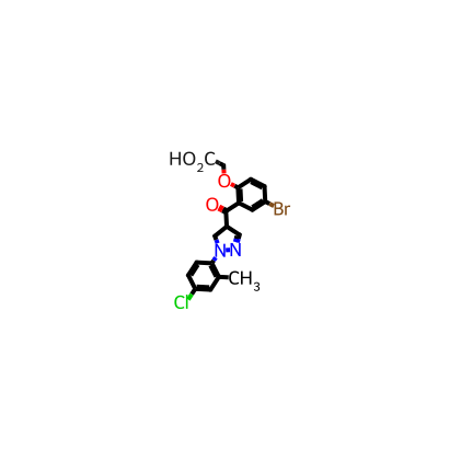 Cc1cc(Cl)ccc1N1CC(C(=O)c2cc(Br)ccc2OCC(=O)O)C=N1